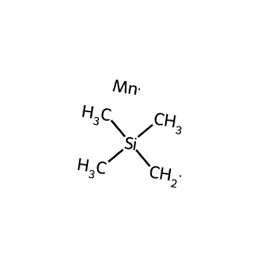 [CH2][Si](C)(C)C.[Mn]